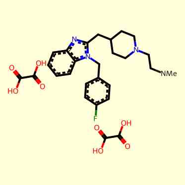 CNCCN1CCC(Cc2nc3ccccc3n2Cc2ccc(F)cc2)CC1.O=C(O)C(=O)O.O=C(O)C(=O)O